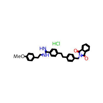 COc1ccc(CCNC(=N)c2ccc(CCc3ccc(CN4C(=O)c5ccccc5C4=O)cc3)cc2)cc1.Cl